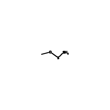 COS[SiH3]